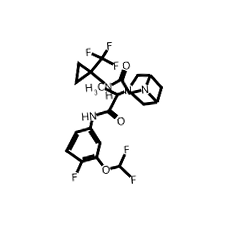 CC(C(=O)Nc1ccc(F)c(OC(F)F)c1)N1CC2CC(C1)N2CC(=O)NC1(C(F)(F)F)CC1